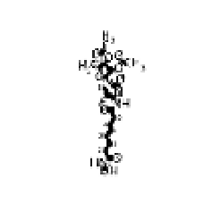 CC(=O)O[C@@H]1[C@H](OC(C)=O)[C@@H](C)O[C@H]1n1cc(F)c(NC(=O)CCCCCCC(=O)NO)nc1=O